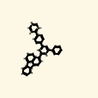 c1ccc(-c2cc(-c3ccc(-c4ncncn4)cc3)nc(-c3ccc4c5c(cccc35)-c3ccccc3-4)n2)cc1